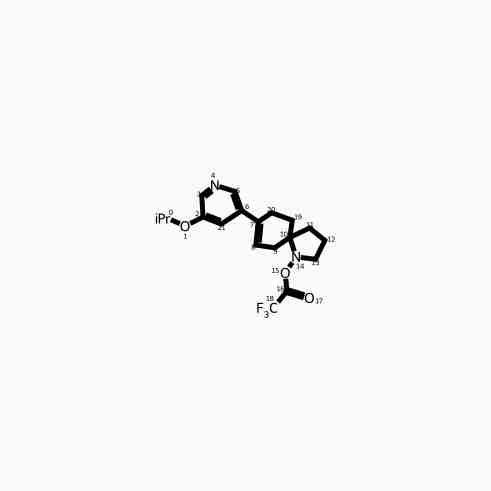 CC(C)Oc1cncc(C2=CCC3(CCCN3OC(=O)C(F)(F)F)CC2)c1